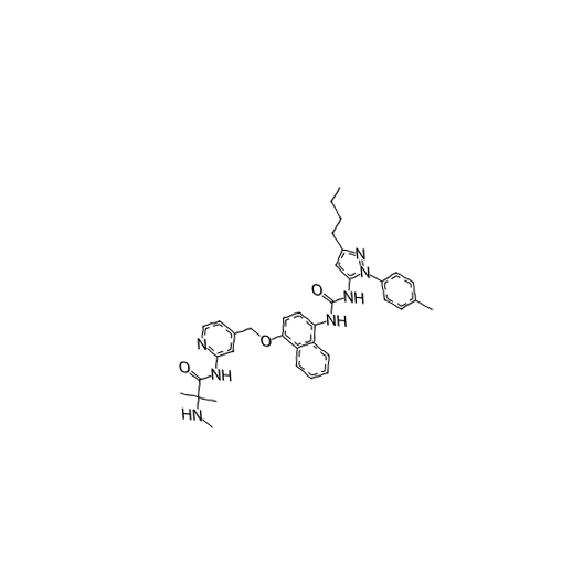 CCCCc1cc(NC(=O)Nc2ccc(OCc3ccnc(NC(=O)C(C)(C)NC)c3)c3ccccc23)n(-c2ccc(C)cc2)n1